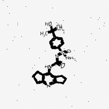 CC(C)(O)c1ccc(S(N)(=O)=NC(=O)Nc2c3c(nc4c2CCC4)CCC3)cc1